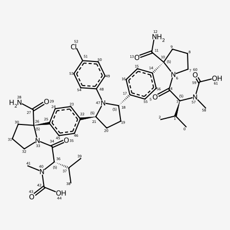 CC(C)[C@@H](C(=O)N1CCC[C@@]1(C(N)=O)c1ccc([C@@H]2CC[C@@H](c3ccc([C@]4(C(N)=O)CCCN4C(=O)[C@H](C(C)C)N(C)C(=O)O)cc3)N2c2ccc(Cl)cc2)cc1)N(C)C(=O)O